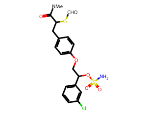 CNC(=O)C(Cc1ccc(OCC(OS(N)(=O)=O)c2cccc(Cl)c2)cc1)SC=O